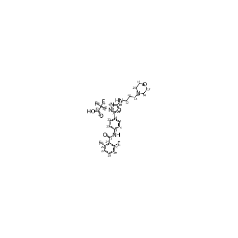 O=C(Nc1ccc(-c2nnc(NCCCN3CCOCC3)o2)cc1)c1c(F)cccc1F.O=C(O)C(F)(F)F